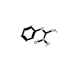 CCN(CC)C(C)Oc1c[c]ccc1